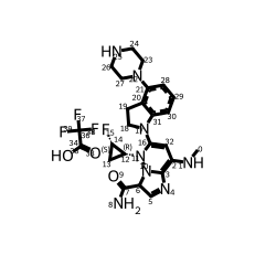 CNC1=C2N=CC(C(N)=O)N2N([C@@H]2C[C@@H]2F)C(N2CCc3c(N4CCNCC4)cccc32)=C1.O=C(O)C(F)(F)F